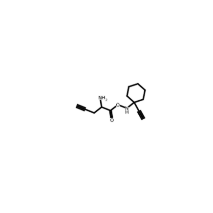 C#CCC(N)C(=O)ONC1(C#C)CCCCC1